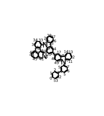 c1ccc(-c2cccc(-n3c4ccccc4c4cc(-c5ccc6c(c5)c5ccccc5n6-c5cccc6c5-c5cncc7cccc-6c57)ccc43)c2)cc1